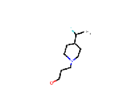 CC(F)C1CCN(CCC[O])CC1